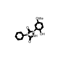 COc1ccc(O)c(-n2[nH]c(=O)n(-c3ccccc3)c2=O)c1